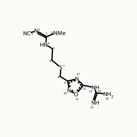 CN/C(=N/C#N)NCCSCc1noc(NC(=N)N)n1